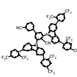 N#Cc1cccc(-c2cc(-n3c4ccc(-c5ccc(C(F)(F)F)cc5C(F)(F)F)cc4c4cc(-c5ccc(C(F)(F)F)cc5C(F)(F)F)ccc43)c(C#N)c(-n3c4ccc(-c5ccc(C(F)(F)F)cc5C(F)(F)F)cc4c4cc(-c5ccc(C(F)(F)F)cc5C(F)(F)F)ccc43)c2)c1